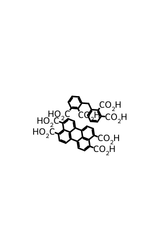 O=C(O)c1ccc2c3ccc(C(=O)O)c4c(C(=O)O)ccc(c5ccc(C(=O)O)c1c25)c43.O=C(O)c1cccc(Cc2cccc(C(=O)O)c2C(=O)O)c1C(=O)O